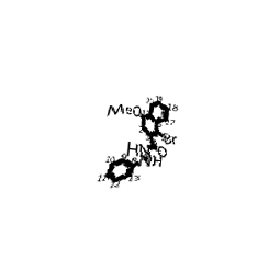 COc1cc(C(=O)NNc2ccccc2)c(Br)c2ccccc12